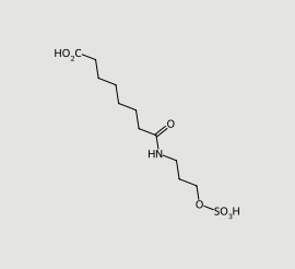 O=C(O)CCCCCCC(=O)NCCCOS(=O)(=O)O